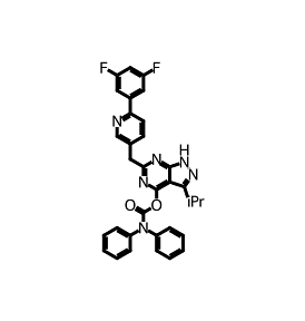 CC(C)c1n[nH]c2nc(Cc3ccc(-c4cc(F)cc(F)c4)nc3)nc(OC(=O)N(c3ccccc3)c3ccccc3)c12